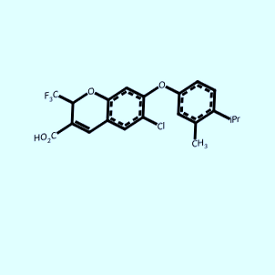 Cc1cc(Oc2cc3c(cc2Cl)C=C(C(=O)O)C(C(F)(F)F)O3)ccc1C(C)C